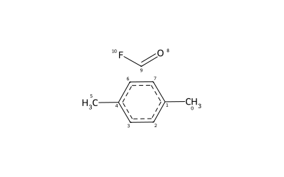 Cc1ccc(C)cc1.O=CF